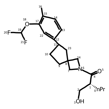 CCC[C@H](CO)C(=O)N1CC2(CCC(c3ccc(C)c(OC(F)F)c3)C2)C1